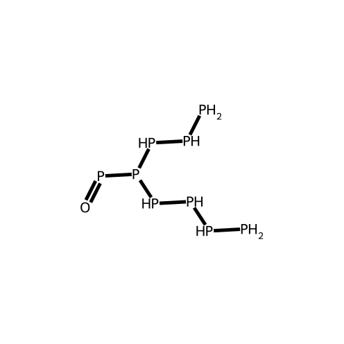 O=PP(PPP)PPPP